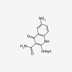 CCCCCCCc1[nH]c2ccc([N+](=O)[O-])cc2c(=O)c1C(N)=O